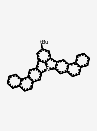 CC(C)(C)c1cc2c3cc4c(ccc5ccccc54)cc3n3c4cc5ccc6ccccc6c5cc4c(c1)c23